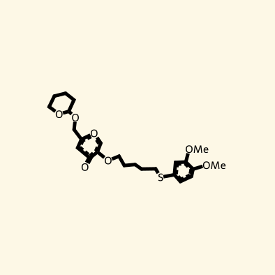 COc1ccc(SCCCCCOc2coc(COC3CCCCO3)cc2=O)cc1OC